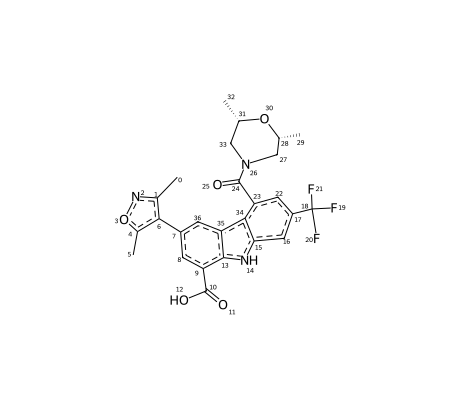 Cc1noc(C)c1-c1cc(C(=O)O)c2[nH]c3cc(C(F)(F)F)cc(C(=O)N4C[C@@H](C)O[C@@H](C)C4)c3c2c1